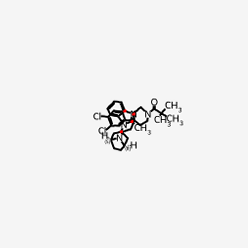 Cc1nc2ccccc2n1C1C[C@H]2CC[C@@H](C1)N2CCC1(c2ccc(Cl)c(Cl)c2)CCN(C(=O)C(C)(C)C)CC1